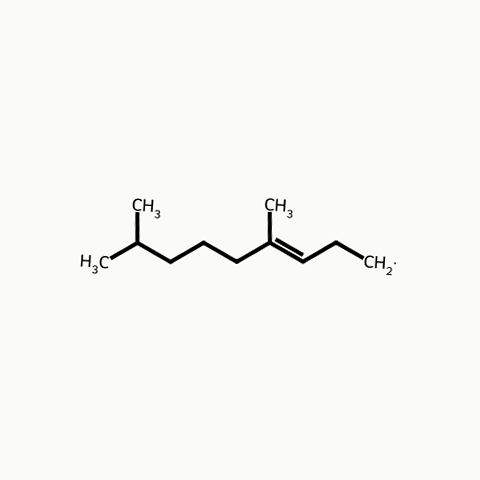 [CH2]C/C=C(\C)CCCC(C)C